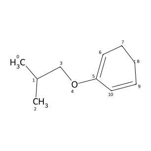 CC(C)COC1=CC[CH]C=C1